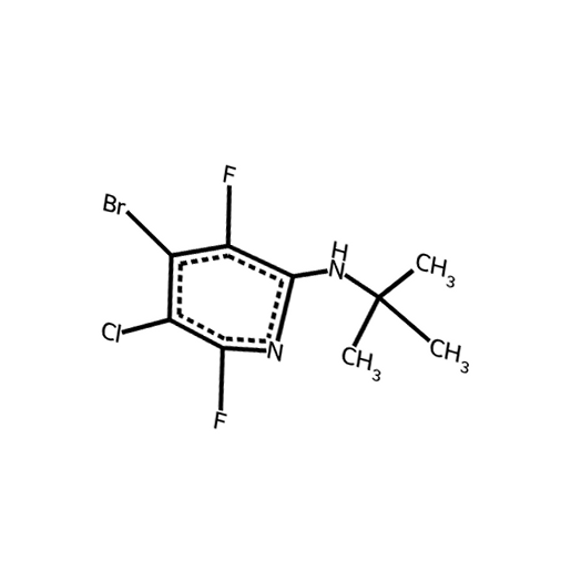 CC(C)(C)Nc1nc(F)c(Cl)c(Br)c1F